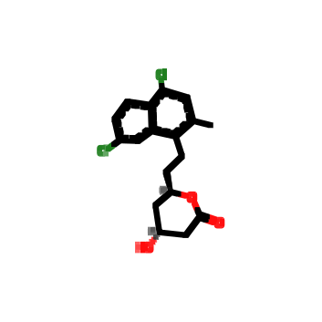 Cc1cc(Cl)c2ccc(Cl)cc2c1CC[C@@H]1C[C@@H](O)CC(=O)O1